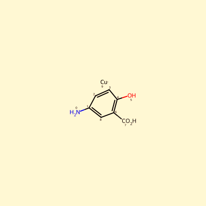 Nc1ccc(O)c(C(=O)O)c1.[Cu]